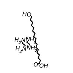 NCCN.NCCN.O=C(O)CCCCCCCCCCCCCCCCCO